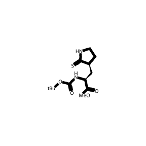 COC(=O)[C@H](C[C@@H]1CCNC1=S)NC(=O)OC(C)(C)C